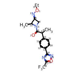 CCON=C1CN(C(=O)C(C)c2ccc(-c3noc(C(F)(F)F)n3)cc2)C1C